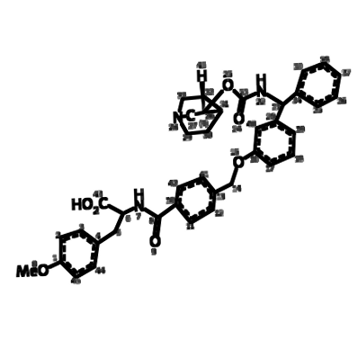 COc1ccc(CC(NC(=O)c2ccc(COc3cccc(C(NC(=O)O[C@H]4CN5CCC4CC5)c4ccccc4)c3)cc2)C(=O)O)cc1